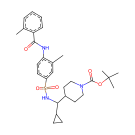 Cc1cc(S(=O)(=O)NC(C2CC2)C2CCN(C(=O)OC(C)(C)C)CC2)ccc1NC(=O)c1ccccc1C